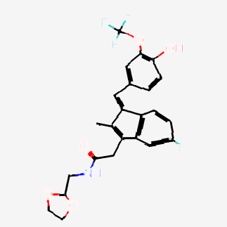 CC1=C(CC(=O)NCC2OCCO2)c2cc(F)ccc2/C1=C\c1ccc(O)c(OC(F)(F)F)c1